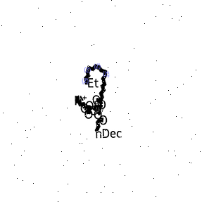 CC/C=C\C/C=C\C/C=C\C/C=C\CCCCCCC(=O)O[C@H](COC(=O)CCCCCCCCCCCCC)COP(=O)(O)OCC[N+](C)(C)C